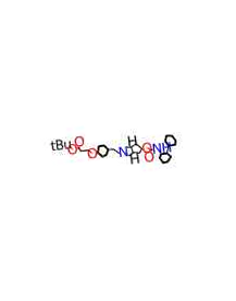 CC(C)(C)OC(=O)CCOc1ccc(CCN2C[C@H]3CC(OC(=O)Nc4ccccc4-c4ccccc4)C[C@H]3C2)cc1